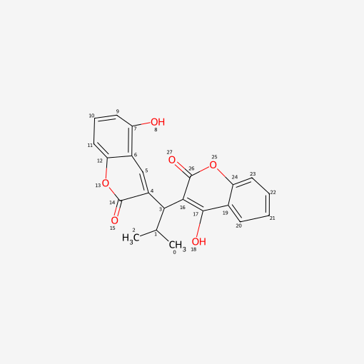 CC(C)C(c1cc2c(O)cccc2oc1=O)c1c(O)c2ccccc2oc1=O